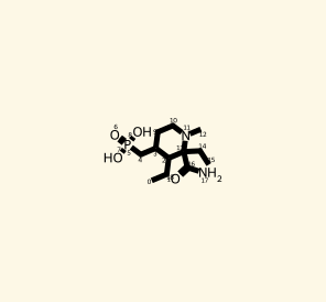 CCC1C(CP(=O)(O)O)CCN(C)C1(CC)C(N)=O